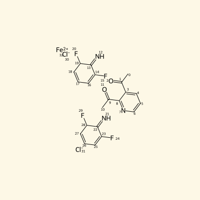 CC(=O)c1cccnc1C(C)=O.N=C1C(F)=CC=CC1F.N=C1C(F)=CC=CC1F.[Cl-].[Cl-].[Fe+2]